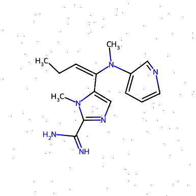 CCC=C(c1cnc(C(=N)N)n1C)N(C)c1cccnc1